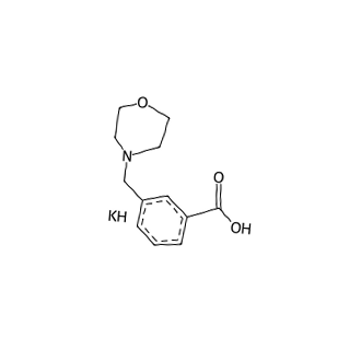 O=C(O)c1cccc(CN2CCOCC2)c1.[KH]